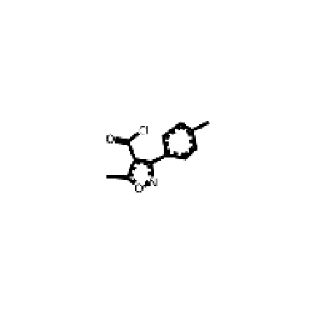 Cc1ccc(-c2noc(C)c2C(=O)Cl)cc1